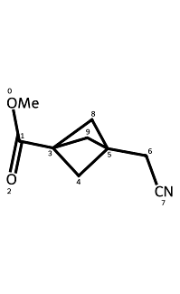 COC(=O)C12CC(CC#N)(C1)C2